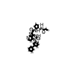 C=CC(=O)NC[C@H]1CCC[C@H]1NC(=O)c1sc2nccc3c2c1NC(=O)N3c1cc(-c2ccccc2)ccn1